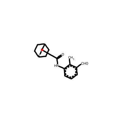 Cc1c(C=O)cccc1NC(=O)N1CC2CCC(CC2)C1